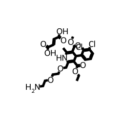 CCOC(=O)C1=C(COCCOCCN)NC(C)=C(C(=O)OC)C1c1cccc(Cl)c1Cl.O=C(O)C=CC(=O)O